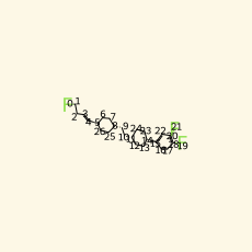 FCCC=C[C@H]1CC[C@H](CC[C@H]2CC[C@H](c3ccc(F)c(F)c3)CC2)CC1